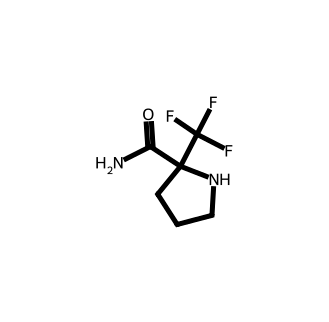 NC(=O)C1(C(F)(F)F)CCCN1